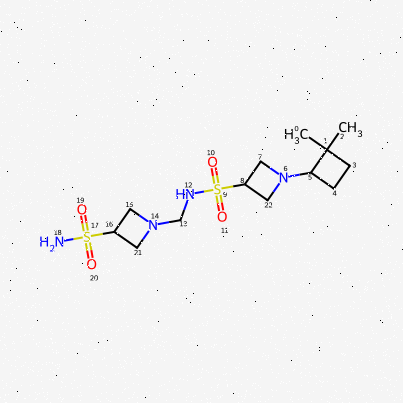 CC1(C)CCC1N1CC(S(=O)(=O)NCN2CC(S(N)(=O)=O)C2)C1